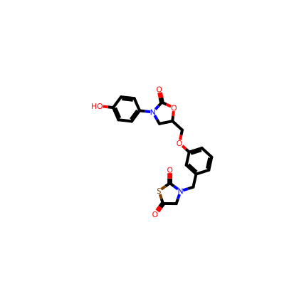 O=C1CN(Cc2cccc(OCC3CN(c4ccc(O)cc4)C(=O)O3)c2)C(=O)S1